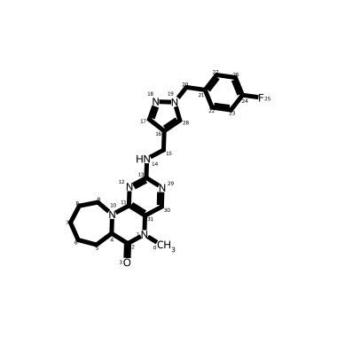 CN1C(=O)C2CCCCCN2c2nc(NCc3cnn(Cc4ccc(F)cc4)c3)ncc21